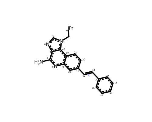 CC(C)Cn1cnc2c(N)nc3cc(/C=C/c4ccccc4)ccc3c21